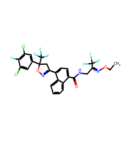 CCO/N=C(/CNC(=O)c1ccc(C2=NOC(c3cc(Cl)c(F)c(Cl)c3)(C(F)(F)F)C2)c2ccccc12)C(F)(F)F